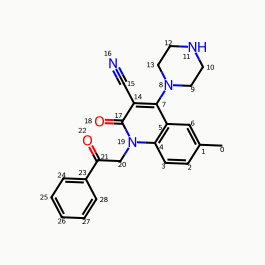 Cc1ccc2c(c1)c(N1CCNCC1)c(C#N)c(=O)n2CC(=O)c1ccccc1